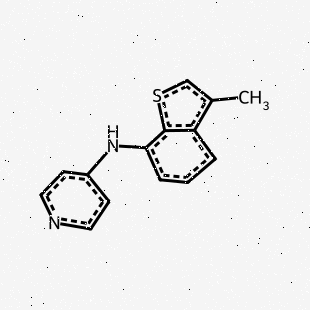 Cc1csc2c(Nc3ccncc3)cccc12